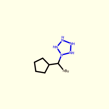 [CH2]CCCC(C1CCCC1)n1[nH][nH][nH][nH]1